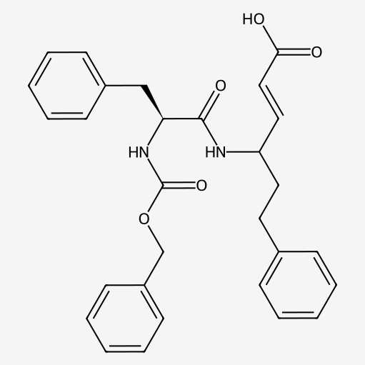 O=C(O)C=CC(CCc1ccccc1)NC(=O)[C@H](Cc1ccccc1)NC(=O)OCc1ccccc1